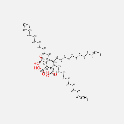 CCCCCCCCCCCc1c(CCCCCCCCCCC)c(C(=O)O)c(C(=O)O)c(C(=O)O)c1CCCCCCCCCCC